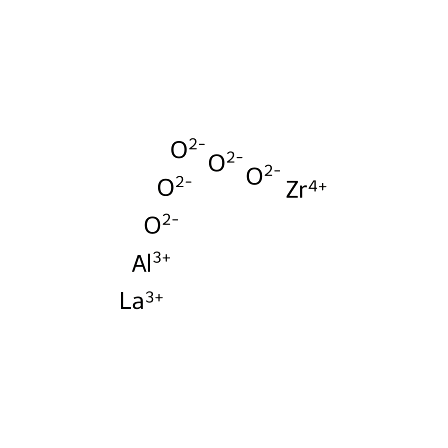 [Al+3].[La+3].[O-2].[O-2].[O-2].[O-2].[O-2].[Zr+4]